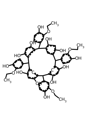 CCOc1cc(C2c3cc(c(O)cc3O)C(c3ccc(O)c(OCC)c3)c3cc(c(O)cc3O)C(c3ccc(O)c(OCC)c3)c3cc(c(O)cc3O)C(c3ccc(O)c(OCC)c3)c3cc2c(O)cc3O)ccc1O